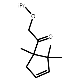 CC(C)OCC(=O)C1(C)CC=CC1(C)C